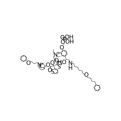 CC[N+](CC)(CC(=O)OC(C(=O)OC1C[N+]2(CCCOc3ccccc3)CCC1CC2)(c1cccs1)c1cccs1)Cc1cc(C(O)CNCCCCCCOCCCCc2ccccc2)ccc1OCOP(=O)(O)O